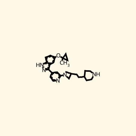 CC1(Oc2ccc3[nH]nc(-c4ccnc(N5CC(CCC6CCNCC6)C5)c4)c3c2)CC1